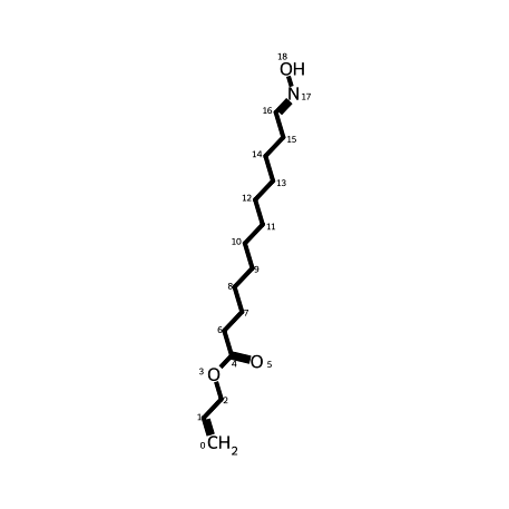 C=CCOC(=O)CCCCCCCCCCC=NO